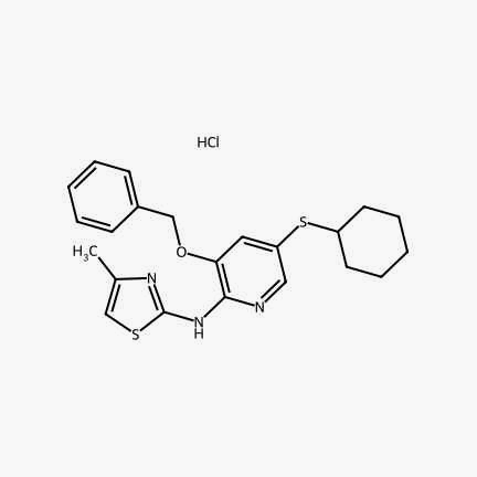 Cc1csc(Nc2ncc(SC3CCCCC3)cc2OCc2ccccc2)n1.Cl